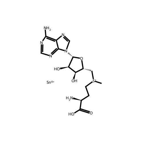 C[S+](CC[C@H](N)C(=O)O)C[C@H]1O[C@@H](n2cnc3c(N)ncnc32)[C@H](O)[C@@H]1O.[Sn+4]